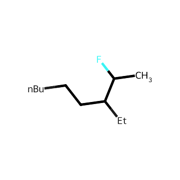 CCCCCCC(CC)C(C)F